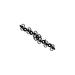 C=CC(=O)Oc1ccc(C(=O)Oc2ccc(C(=O)O[C@H]3CO[C@@H]4[C@H]3OC[C@H]4OC(=O)c3ccc(OC(=O)c4ccc(OC(=O)C=C)cc4)c(C)c3)cc2C)cc1